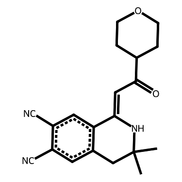 CC1(C)Cc2cc(C#N)c(C#N)cc2/C(=C/C(=O)C2CCOCC2)N1